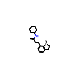 C=C(CCc1cccc2c1B(C)CC2)NC1CCCCC1